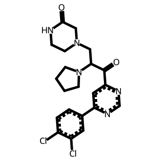 O=C1CN(CC(C(=O)c2cc(-c3ccc(Cl)c(Cl)c3)ncn2)N2CCCC2)CCN1